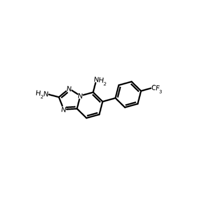 Nc1nc2ccc(-c3ccc(C(F)(F)F)cc3)c(N)n2n1